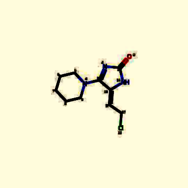 O=C1N=C(N2CCCCC2)C(=CCCl)N1